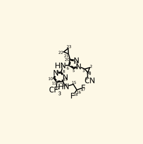 N#C[C@@H]1CC1n1cc(Nc2ncc(C(F)(F)F)c(NCC(F)F)n2)c(C2CC2)n1